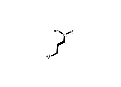 CCCN(C=CCN)CCC